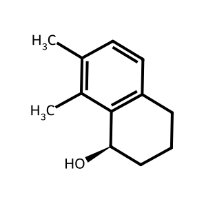 Cc1ccc2c(c1C)[C@H](O)CCC2